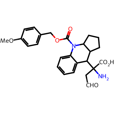 COc1ccc(COC(=O)N2c3ccccc3C(C(N)(CC=O)C(=O)O)C3CCCC32)cc1